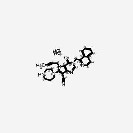 CC#CCn1c(N2CCCNCC2)c(C#N)c2ncn(Cc3nccc4ccccc34)c(=O)c21.Cl.Cl